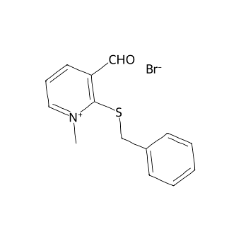 C[n+]1cccc(C=O)c1SCc1ccccc1.[Br-]